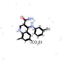 CCOC(=O)c1cc(C)c2ncc(C(N)=O)c(Nc3cccc(C(C)=O)c3)c2c1